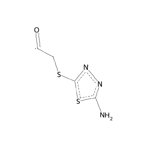 Nc1nnc(SC[C]=O)s1